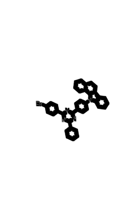 Brc1ccc(-c2nc(-c3ccccc3)nc(-c3ccc(-n4c5ccccc5c5ccc6ccccc6c54)cc3)n2)cc1